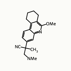 CNCC(C)(C#N)c1ccc2c3c(c(OC)nc2c1)CCCC3